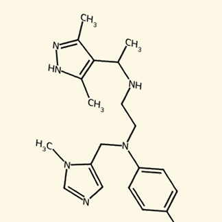 Cc1n[nH]c(C)c1C(C)NCCN(Cc1cncn1C)c1ccc(C#N)cc1